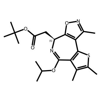 Cc1noc2c1-c1sc(C)c(C)c1C(OC(C)C)=N[C@H]2CC(=O)OC(C)(C)C